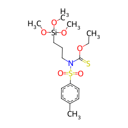 CCOC(=S)N(CCC[Si](OC)(OC)OC)S(=O)(=O)c1ccc(C)cc1